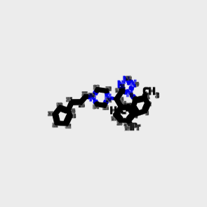 Cc1cccc(C)c1-n1nnnc1[C@@H](c1ccc(C(C)C)cc1)N1CCN(C/C=C/c2ccccc2)CC1